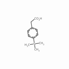 C[Si](C)(C)c1ccc(CC(=O)O)cc1